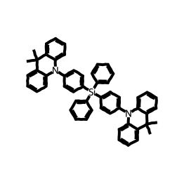 CC1(C)c2ccccc2N(c2ccc([Si](c3ccccc3)(c3ccccc3)c3ccc(N4c5ccccc5C(C)(C)c5ccccc54)cc3)cc2)c2ccccc21